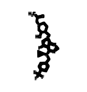 CC(=O)CN1CCC(Cn2cc(F)c3c(N(Cc4ccc(C(F)(F)F)cc4)C4CC4)ncnc32)C(O)C1